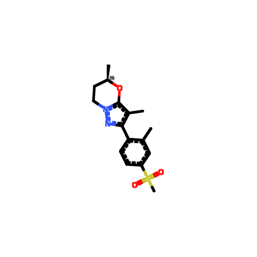 Cc1cc(S(C)(=O)=O)ccc1-c1nn2c(c1C)O[C@H](C)CC2